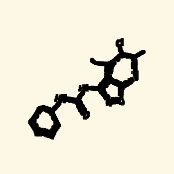 Cc1nc2onc(NC(=O)Nc3ccccc3)c2c(C)c1Cl